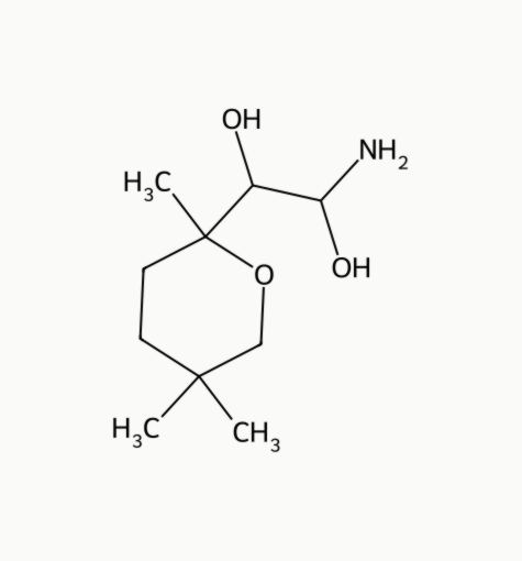 CC1(C)CCC(C)(C(O)C(N)O)OC1